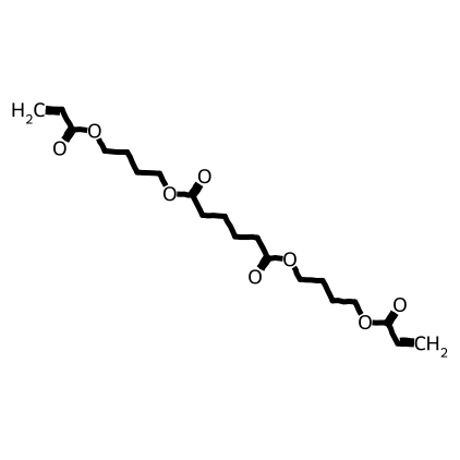 C=CC(=O)OCCCCOC(=O)CCCCC(=O)OCCCCOC(=O)C=C